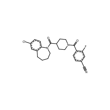 N#Cc1ccc(C(=O)N2CCC(C(=O)N3CCCCc4cc(Cl)ccc43)CC2)c(F)c1